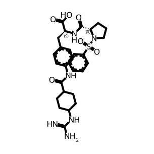 N=C(N)NC1CCC(C(=O)Nc2ccc(C[C@H](NC(=O)[C@@H]3CCCN3S(=O)(=O)c3ccccc3)C(=O)O)cc2)CC1